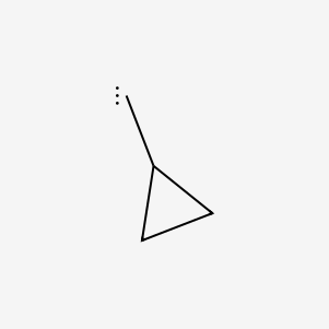 [C]C1CC1